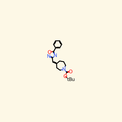 CC(C)(C)OC(=O)N1CCC/C(=C\c2noc(-c3ccccc3)n2)CC1